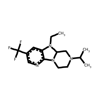 CCN1c2cc(C(F)(F)F)cnc2N2CCN(C(C)C)CC12